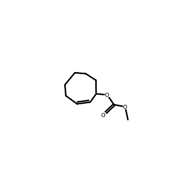 COC(=O)OC1C=CCCCCC1